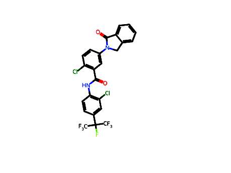 O=C(Nc1ccc(C(F)(C(F)(F)F)C(F)(F)F)cc1Cl)c1cc(N2Cc3ccccc3C2=O)ccc1Cl